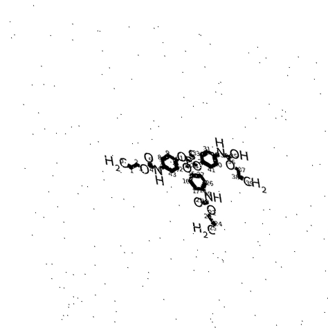 C=CCOC(=O)Nc1ccc(OP(=S)(Oc2ccc(NC(=O)OCC=C)cc2)Oc2ccc(NC(O)OCC=C)cc2)cc1